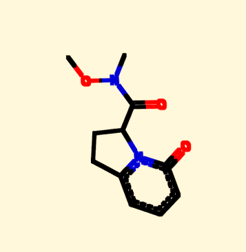 CON(C)C(=O)C1CCc2cccc(=O)n21